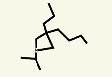 CCCCC1(CCC)CN(C(C)C)C1